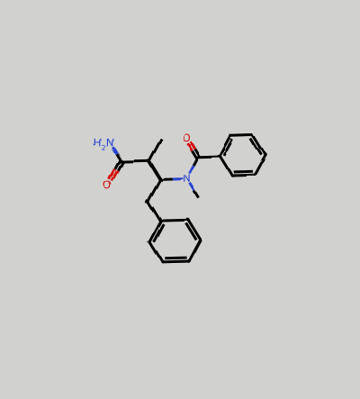 CC(C(N)=O)C(Cc1ccccc1)N(C)C(=O)c1ccccc1